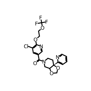 O=C(c1cnc(OCCOC(F)(F)F)c(Cl)c1)N1CC[C@]2(c3ccccn3)OCOC2C1